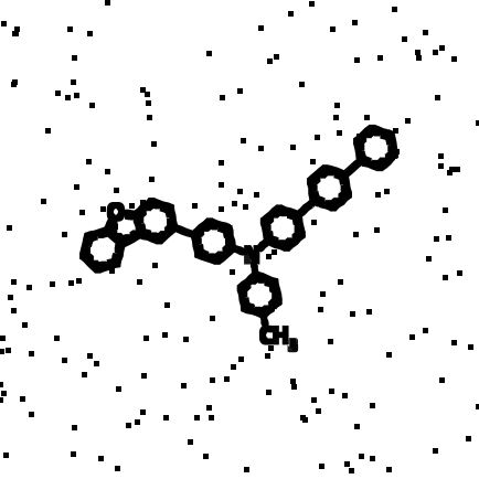 Cc1ccc(N(c2ccc(-c3ccc(-c4ccccc4)cc3)cc2)c2ccc(-c3ccc4oc5ccccc5c4c3)cc2)cc1